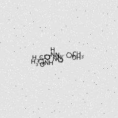 CC1(C)C(=O)Nc2cc(Nc3nc4cccc(C[C@H]5CC[C@](C)(O)CC5)n4n3)ccc21